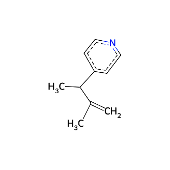 C=C(C)C(C)c1ccncc1